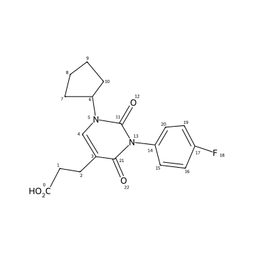 O=C(O)CCc1cn(C2CCCC2)c(=O)n(-c2ccc(F)cc2)c1=O